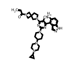 C=CC(=O)N1CC2(CCN(c3nc(N4CCC(N5CCN(C6CC6)CC5)CC4)nc(-c4c(C)ccc5[nH]ncc45)c3C#N)C2)C1